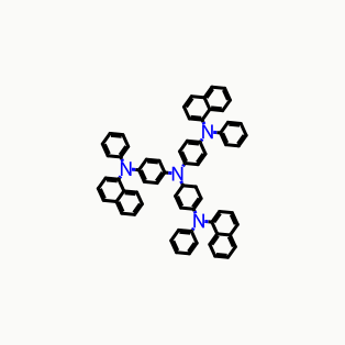 C1=CC(N(c2ccc(N(c3ccccc3)c3cccc4ccccc34)cc2)c2ccc(N(c3ccccc3)c3cccc4ccccc34)cc2)CC=C1N(c1ccccc1)c1cccc2ccccc12